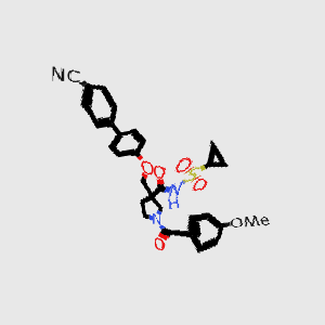 COc1ccc(C(=O)N2CCC(COc3ccc(-c4ccc(C#N)cc4)cc3)(C(=O)NS(=O)(=O)C3CC3)C2)cc1